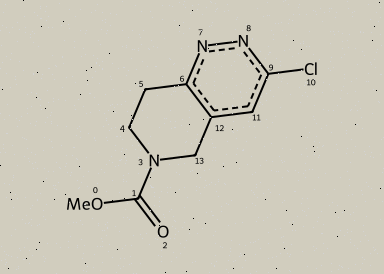 COC(=O)N1CCc2nnc(Cl)cc2C1